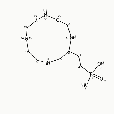 O=P(O)(O)CCC1CNCCNCCNCCN1